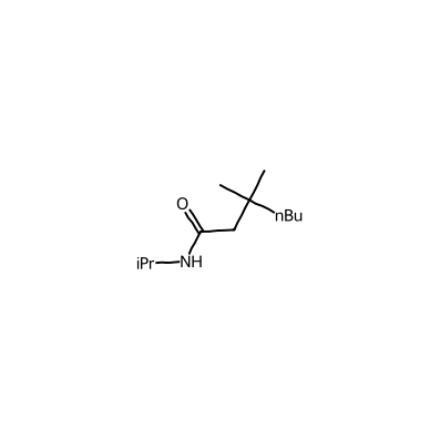 CCCCC(C)(C)CC(=O)NC(C)C